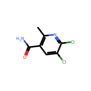 Cc1nc(Cl)c(Cl)cc1C(N)=O